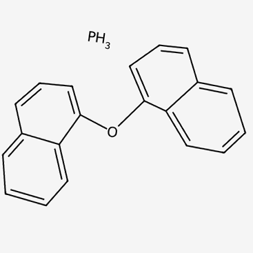 P.c1ccc2c(Oc3cccc4ccccc34)cccc2c1